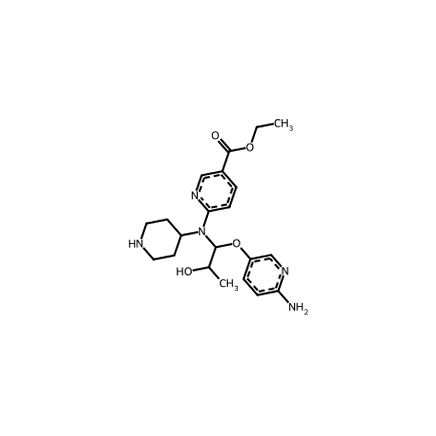 CCOC(=O)c1ccc(N(C2CCNCC2)C(Oc2ccc(N)nc2)C(C)O)nc1